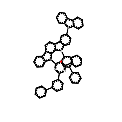 c1ccc(-c2ccc(-n3c4ccc(-n5c6ccccc6c6ccccc65)cc4c4ccc5c6ccccc6n(-c6nc(-c7ccccc7)nc(-c7cccc(-c8ccccc8)c7)n6)c5c43)cc2)cc1